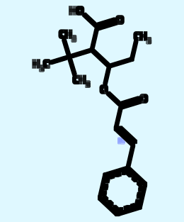 CCC(OC(=O)/C=C/c1ccccc1)C(C(=O)O)C(C)(C)C